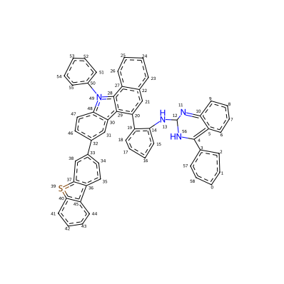 c1ccc(C2=c3ccccc3=NC(Nc3ccccc3-c3cc4ccccc4c4c3c3cc(-c5ccc6c(c5)sc5ccccc56)ccc3n4-c3ccccc3)N2)cc1